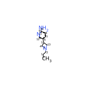 CCCN1CC(c2ccc(N)nc2)C1